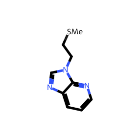 CSCCn1cnc2cccnc21